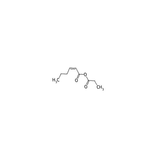 CCC/C=C\C(=O)OC(=O)CC